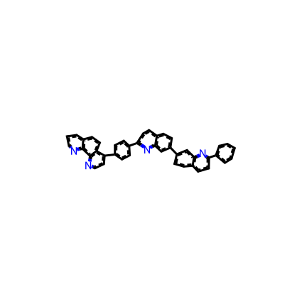 c1ccc(-c2ccc3ccc(-c4ccc5ccc(-c6ccc(-c7ccnc8c7ccc7cccnc78)cc6)nc5c4)cc3n2)cc1